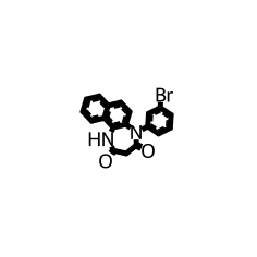 O=C1CC(=O)N(c2cccc(Br)c2)c2ccc3ccccc3c2N1